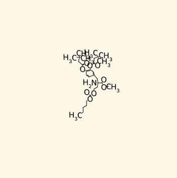 CCCCCOC(=O)OCC[C@@](N)(Cc1ccc(OC(=O)CC(C)(C)C)c(OC(=O)CC(C)(C)C)c1)C(=O)OC